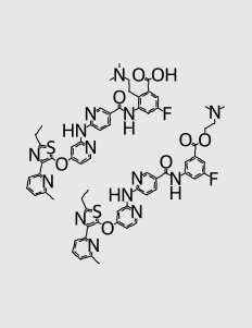 CCc1nc(-c2cccc(C)n2)c(Oc2ccnc(Nc3ccc(C(=O)Nc4cc(F)cc(C(=O)O)c4CCN(C)C)cn3)c2)s1.CCc1nc(-c2cccc(C)n2)c(Oc2ccnc(Nc3ccc(C(=O)Nc4cc(F)cc(C(=O)OCCN(C)C)c4)cn3)c2)s1